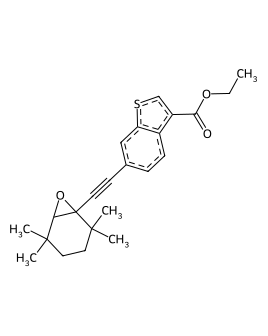 CCOC(=O)c1csc2cc(C#CC34OC3C(C)(C)CCC4(C)C)ccc12